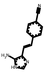 N#Cc1ccc(/C=C/c2nc[nH]c2N)cc1